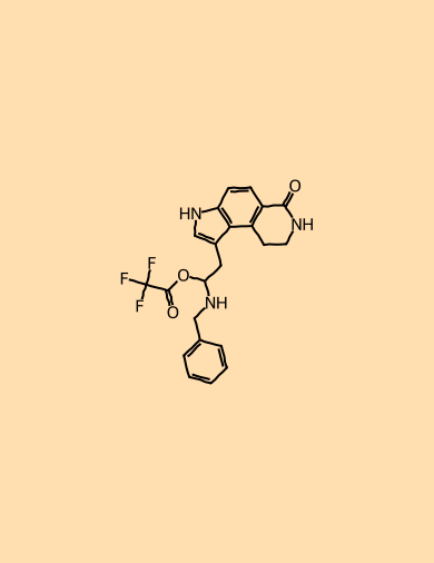 O=C1NCCc2c1ccc1[nH]cc(CC(NCc3ccccc3)OC(=O)C(F)(F)F)c21